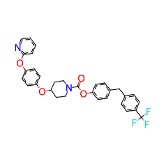 O=C(Oc1ccc(Cc2ccc(C(F)(F)F)cc2)cc1)N1CCC(Oc2ccc(Oc3ccccn3)cc2)CC1